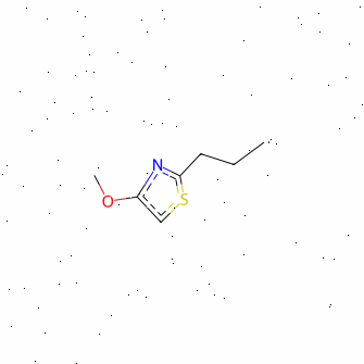 [CH2]CCc1nc(OC)cs1